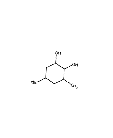 CC1CC(C(C)(C)C)CC(O)C1O